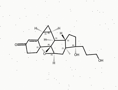 C[C@]12CCC(=O)C=C1[C@H]1C[C@H]1[C@H]1[C@@H]3CC[C@@](O)(CCCO)[C@@]3(C)C[C@H]3O[C@@]132